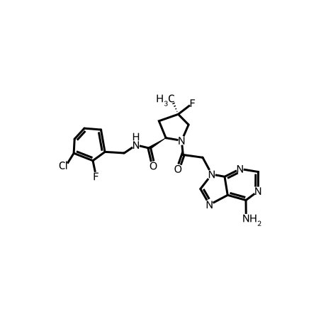 C[C@@]1(F)C[C@H](C(=O)NCc2cccc(Cl)c2F)N(C(=O)Cn2cnc3c(N)ncnc32)C1